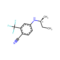 CC[C@H](C)Nc1ccc(C#N)c(C(F)(F)F)c1